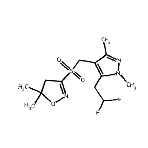 Cn1nc(C(F)(F)F)c(CS(=O)(=O)C2=NOC(C)(C)C2)c1CC(F)F